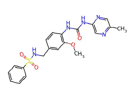 COc1cc(CNS(=O)(=O)c2ccccc2)ccc1NC(=O)Nc1cnc(C)cn1